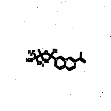 C=C(C)c1ccc2ccc(C(CC)(CC)OC(C)(C)C(O)(C(F)(F)F)C(F)(F)F)cc2c1